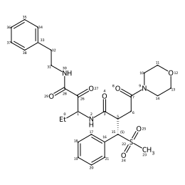 CCC(NC(=O)C(CC(=O)N1CCOCC1)[C@@H](c1ccccc1)S(C)(=O)=O)C(=O)C(=O)NCCc1ccccc1